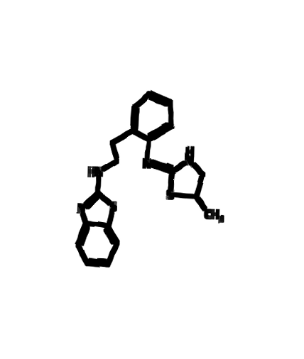 CC1CN/C(=N\c2ccccc2CCNc2nc3ccccc3s2)S1